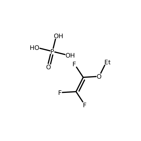 CCOC(F)=C(F)F.O=P(O)(O)O